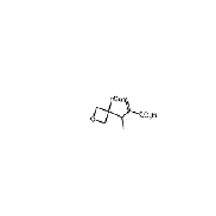 C=C(C(=O)O)C(C)C1(CCCC)COC1